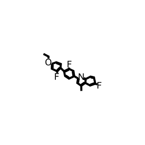 CCOc1ccc(-c2ccc(-c3cc(C)c4cc(F)ccc4n3)cc2F)c(F)c1